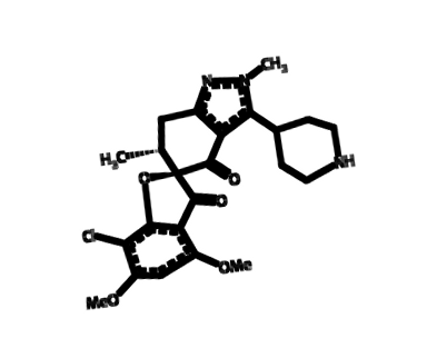 COc1cc(OC)c2c(c1Cl)O[C@]1(C2=O)C(=O)c2c(nn(C)c2C2CCNCC2)C[C@H]1C